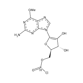 COc1nc(N)nc2c1ncn2C1=C(O)[C@H](O)[C@@H](CO[PH](=O)Cl)O1